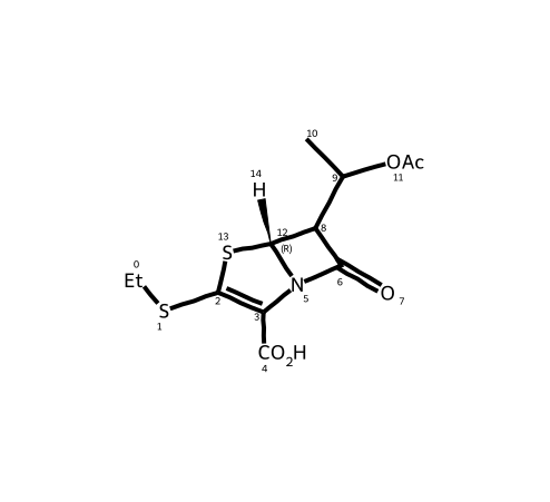 CCSC1=C(C(=O)O)N2C(=O)C(C(C)OC(C)=O)[C@H]2S1